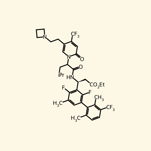 CCOC(=O)C[C@H](NC(=O)C(CC(C)C)n1cc(CCN2CCC2)c(C(F)(F)F)cc1=O)c1c(F)c(C)cc(-c2c(C)ccc(C(F)(F)F)c2C)c1F